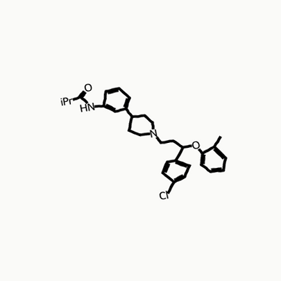 Cc1ccccc1OC(CCN1CCC(c2cccc(NC(=O)C(C)C)c2)CC1)c1ccc(Cl)cc1